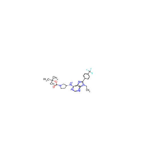 CCn1c(-c2ccc(C(F)(F)F)cc2)nc2c(NC3CCN(C(=O)OC(C)(C)C)C3)ncnc21